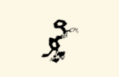 C[C@@H](NCc1ccc(CI)c(-n2cncn2)c1)c1ccccc1